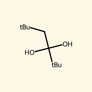 CC(C)(C)CC(O)(O)C(C)(C)C